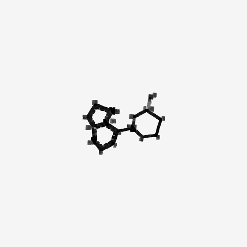 F[C@@H]1CCCN(c2ccnc3ccnn23)C1